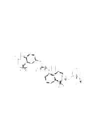 CC(C)(C)N1CCCC1Cn1ccc2c(NC(=O)Cc3ccc(Cl)c(C(F)(F)F)c3)cccc2c1=O